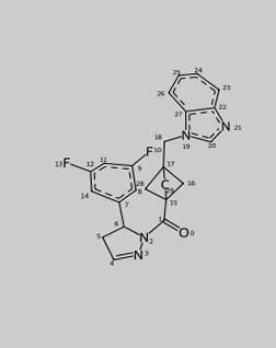 O=C(N1N=CCC1c1cc(F)cc(F)c1)C12CC(Cn3cnc4ccccc43)(C1)C2